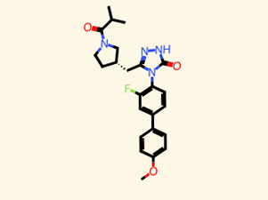 COc1ccc(-c2ccc(-n3c(C[C@@H]4CCN(C(=O)C(C)C)C4)n[nH]c3=O)c(F)c2)cc1